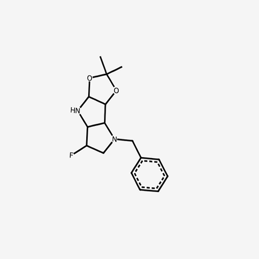 CC1(C)OC2NC3C(F)CN(Cc4ccccc4)C3C2O1